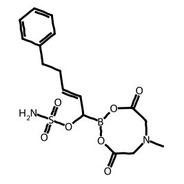 CN1CC(=O)OB(C(/C=C/CCc2ccccc2)OS(N)(=O)=O)OC(=O)C1